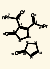 CCCC(=O)C1=C(C(=O)CCC)C(=O)CC1.O=C1C=CCC1